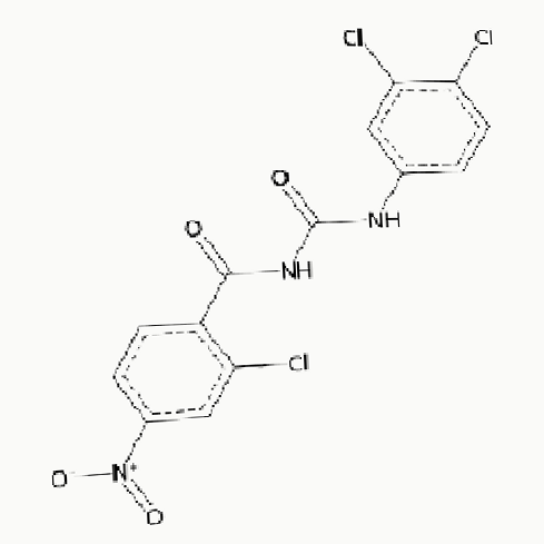 O=C(NC(=O)c1ccc([N+](=O)[O-])cc1Cl)Nc1ccc(Cl)c(Cl)c1